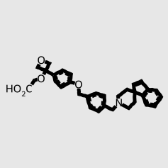 O=C(O)COC1(c2ccc(OCc3ccc(CN4CCC5(C=Cc6ccccc65)CC4)cc3)cc2)COC1